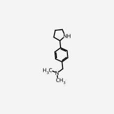 CN(C)Cc1ccc(C2CCCN2)cc1